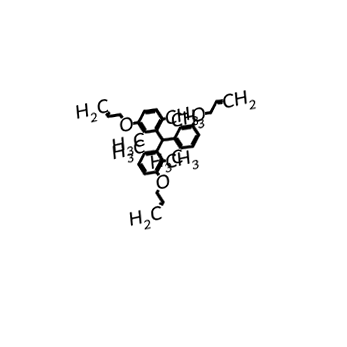 C=CCOc1ccc(C)c(C(c2c(C)ccc(OCC=C)c2C)c2c(C)ccc(OCC=C)c2C)c1C